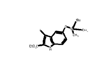 CCOC(=O)c1[nH]c2ccc(O[Si](C)(C)C(C)(C)C)cc2c1I